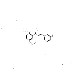 COc1ccc2c(c1C(=O)C=Cc1cccc(Cl)c1)SCO2